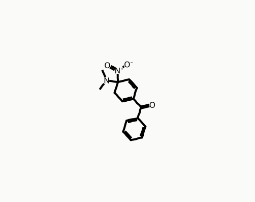 CN(C)C1([N+](=O)[O-])C=CC(C(=O)c2ccccc2)=CC1